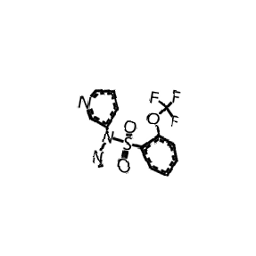 C=NN(c1cccnc1)S(=O)(=O)c1ccccc1OC(F)(F)F